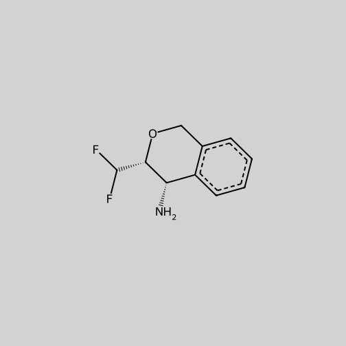 N[C@H]1c2ccccc2CO[C@H]1C(F)F